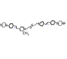 CC1C=C(/C=C/c2ccc(N3CCNCC3)cc2)C=CN1CCSSCC[n+]1ccc(/C=C/c2ccc(N3CCNCC3)cc2)cc1